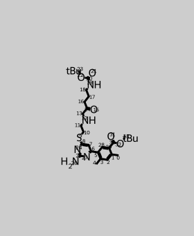 Cc1cc(C)c(-c2cc(SCCNCC(=O)CCCNC(=O)OC(C)(C)C)nc(N)n2)cc1C(=O)OC(C)(C)C